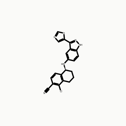 N#Cc1ccc2c(c1Cl)CCC[C@@H]2Nc1ccc2[nH]nc(-c3cnco3)c2c1